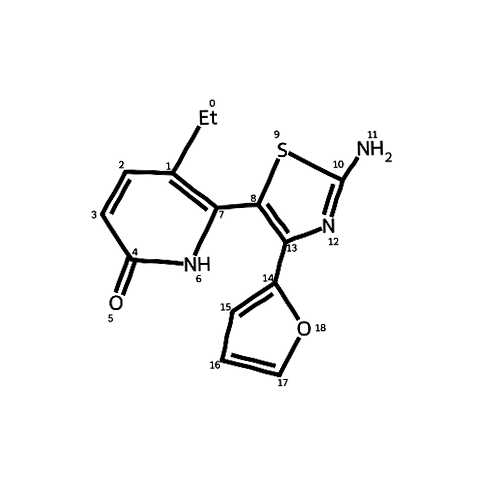 CCc1ccc(=O)[nH]c1-c1sc(N)nc1-c1ccco1